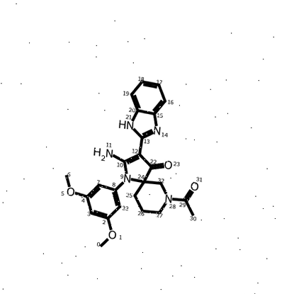 COc1cc(OC)cc(N2C(N)=C(c3nc4ccccc4[nH]3)C(=O)C23CCCN(C(C)=O)C3)c1